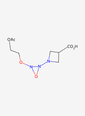 CC(=O)OCCOn1on1N1CC(C(=O)O)C1